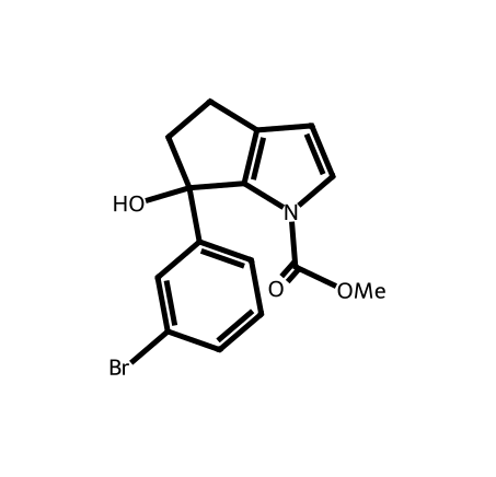 COC(=O)n1ccc2c1C(O)(c1cccc(Br)c1)CC2